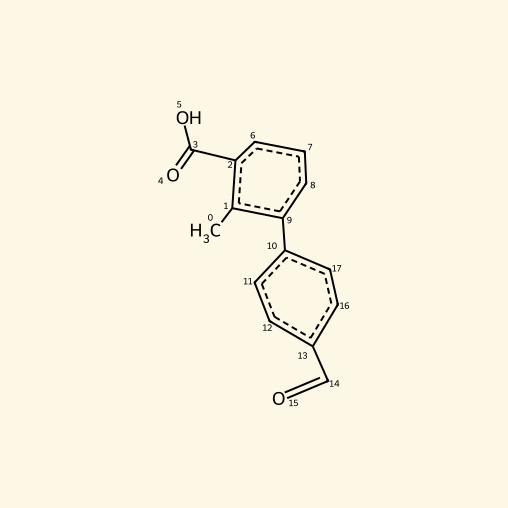 Cc1c(C(=O)O)cccc1-c1ccc(C=O)cc1